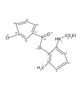 CCOC(=O)Nc1cccc(C)c1OC(=O)c1cccc(Cl)c1